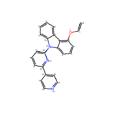 C=COc1cccc2c1c1ccccc1n2-c1cccc(-c2ccncc2)n1